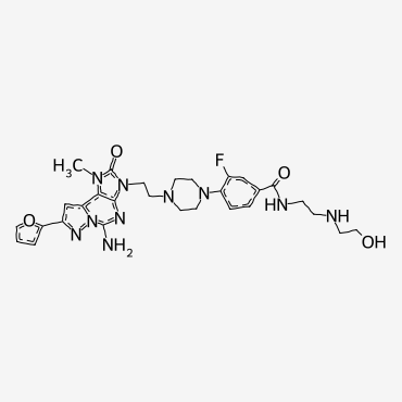 Cn1c(=O)n(CCN2CCN(c3ccc(C(=O)NCCNCCO)cc3F)CC2)c2nc(N)n3nc(-c4ccco4)cc3c21